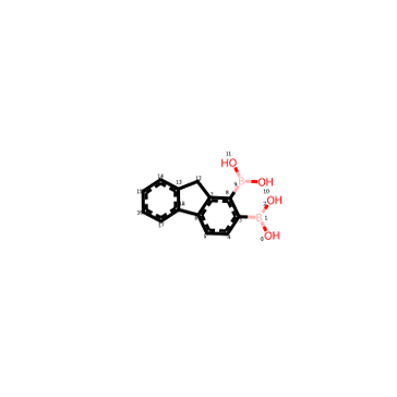 OB(O)c1ccc2c(c1B(O)O)Cc1ccccc1-2